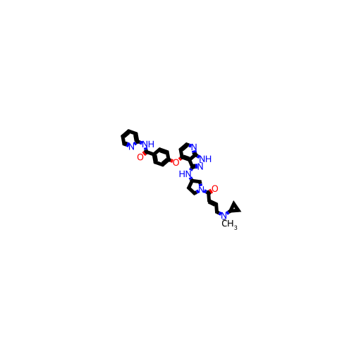 CN(CC=CC(=O)N1CCC(Nc2n[nH]c3nccc(Oc4ccc(C(=O)Nc5ccccn5)cc4)c23)C1)C1CC1